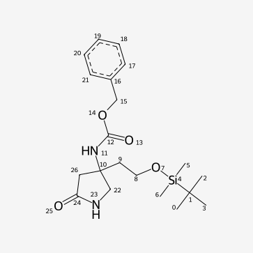 CC(C)(C)[Si](C)(C)OCCC1(NC(=O)OCc2ccccc2)CNC(=O)C1